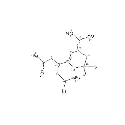 CCCCC(CC)CN(CC(CC)CCCC)C1=C/C(=C(\N)C#N)CC(C)(C)C1